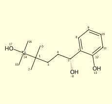 CC(C)(CC[C@@H](O)c1ccccc1O)[Si](C)(C)O